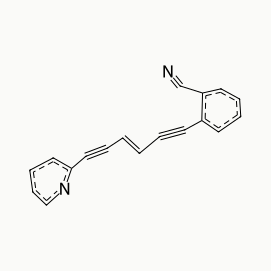 N#Cc1ccccc1C#CC=CC#Cc1ccccn1